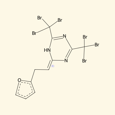 BrC(Br)(Br)C1=N/C(=C/Cc2ccco2)NC(C(Br)(Br)Br)=N1